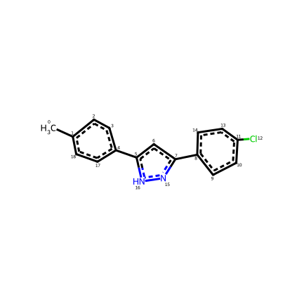 Cc1ccc(-c2cc(-c3ccc(Cl)cc3)n[nH]2)cc1